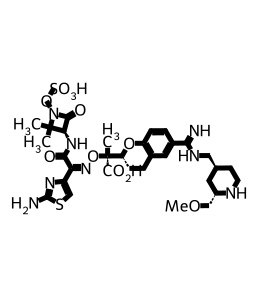 COC[C@@H]1C[C@@H](CNC(=N)c2ccc3c(c2)CC[C@H]([C@](C)(O/N=C(\C(=O)N[C@@H]2C(=O)N(OS(=O)(=O)O)C2(C)C)c2csc(N)n2)C(=O)O)O3)CCN1